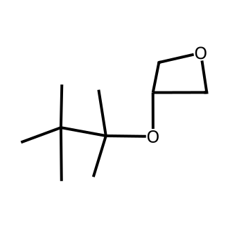 CC(C)(C)C(C)(C)OC1COC1